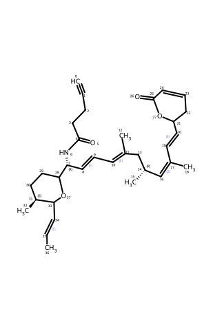 C#CCCC(=O)N[C@H](/C=C/C=C(\C)C[C@@H](C)/C=C(C)\C=C\C1CC=CC(=O)O1)C1CC[C@H](C)C(/C=C/C)O1